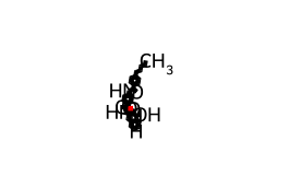 CCCCCc1ccc(C(=O)Nc2ccc(S(=O)(=O)NC(Cc3ccccc3)C(=O)NO)cc2)cc1